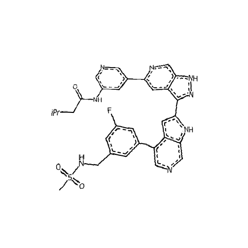 CC(C)CC(=O)Nc1cncc(-c2cc3c(-c4cc5c(-c6cc(F)cc(CNS(C)(=O)=O)c6)cncc5[nH]4)n[nH]c3cn2)c1